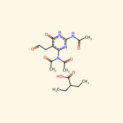 CC(=O)Nc1nc(N(C(C)=O)C(C)=O)c(CC=O)c(=O)[nH]1.CCC(CC)C(=O)O